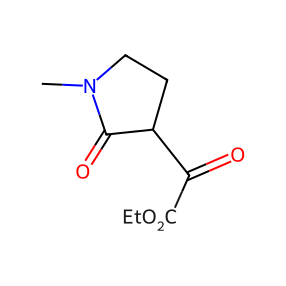 CCOC(=O)C(=O)C1CCN(C)C1=O